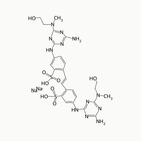 CN(CCO)c1nc(N)nc(Nc2ccc(C=Cc3ccc(Nc4nc(N)nc(N(C)CCO)n4)cc3S(=O)(=O)O)c(S(=O)(=O)O)c2)n1.[Na].[Na]